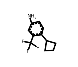 Nc1ccc(C2CCC2)c(C(F)(F)F)c1